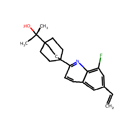 C=Cc1cc(F)c2nc(C34CCC(C(C)(C)O)(CC3)CC4)ccc2c1